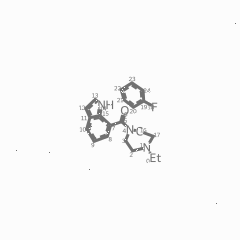 CCN1CCN(C(=O)c2cccc3cc[nH]c23)CC1.Fc1ccccc1